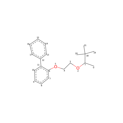 CC(OCCOc1ccccc1-c1ccccc1)C(C)(C)C